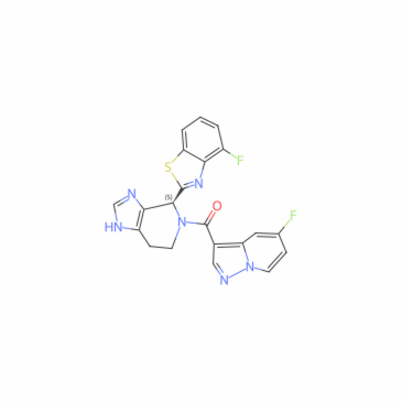 O=C(c1cnn2ccc(F)cc12)N1CCc2[nH]cnc2[C@H]1c1nc2c(F)cccc2s1